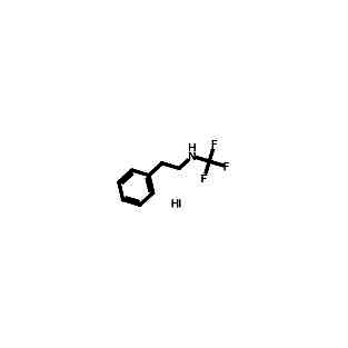 FC(F)(F)NCCc1ccccc1.I